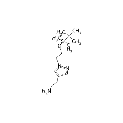 CC(C)(C)[Si](C)(C)OCCn1cc(CCN)cn1